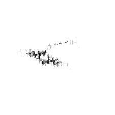 B[P@]1(=O)OC[C@H]2O[C@@H](n3cnc4c(N)ncnc43)[C@H](F)[C@@H]2OP(=O)(SCc2ccc(OCCOCCOCCN)cc2)OC[C@H]2O[C@@H](n3cnc4c(N)ncnc43)[C@H](F)[C@@H]2O1